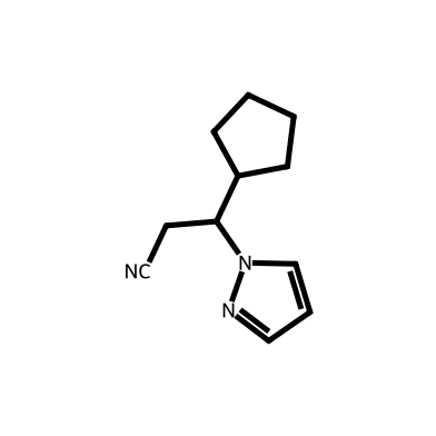 N#CCC(C1CCCC1)n1cccn1